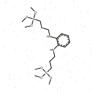 CO[Si](CCCNc1ccccc1NCCC[Si](OC)(OC)OC)(OC)OC